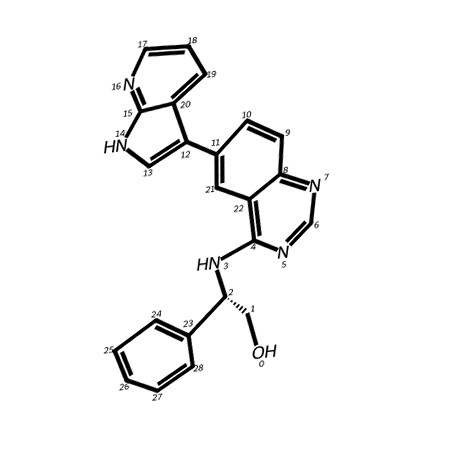 OC[C@@H](Nc1ncnc2ccc(-c3c[nH]c4ncccc34)cc12)c1ccccc1